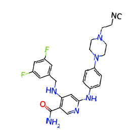 [C-]#[N+]CCN1CCN(c2ccc(Nc3cc(NCc4cc(F)cc(F)c4)c(C(N)=O)cn3)cc2)CC1